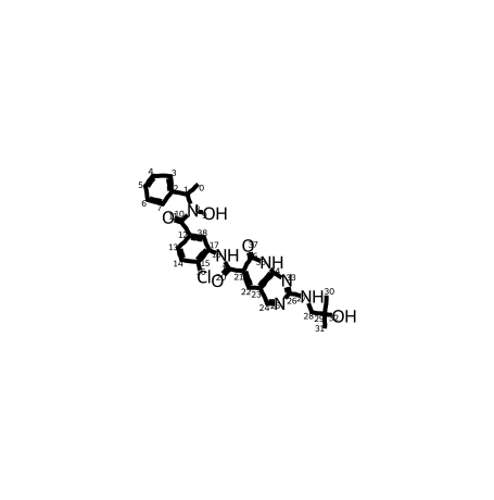 CC(c1ccccc1)N(O)C(=O)c1ccc(Cl)c(NC(=O)c2cc3cnc(NCC(C)(C)O)nc3[nH]c2=O)c1